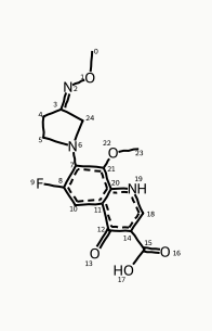 CON=C1CCN(c2c(F)cc3c(=O)c(C(=O)O)c[nH]c3c2OC)C1